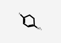 O=[N+]([O-])C1=CC=C(F)[CH]C1